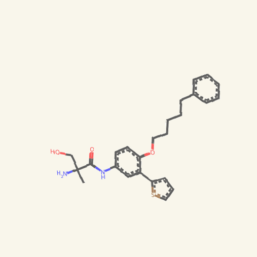 CC(N)(CO)C(=O)Nc1ccc(OCCCCCc2ccccc2)c(-c2cccs2)c1